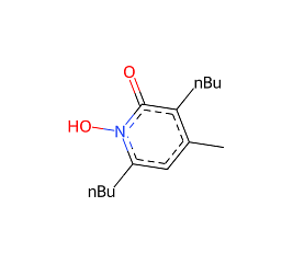 CCCCc1c(C)cc(CCCC)n(O)c1=O